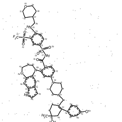 CC1(C)CCC(CN2CCN(c3ccc(C(=O)NS(=O)(=O)c4ccc(NCC5CCOCC5)c(S(=O)(=O)C(F)(F)F)c4)c(N4CCCOc5nc6[nH]ccc6cc54)c3)CC2)=C(c2ccc(Cl)cc2)C1